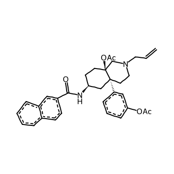 C=CCN1CC[C@@]2(c3cccc(OC(C)=O)c3)C[C@@H](NC(=O)c3ccc4ccccc4c3)CC[C@]2(OC(C)=O)C1